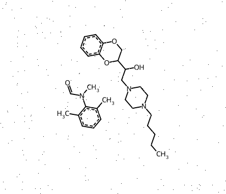 CCCCCN1CCN(CC(O)C2COc3ccccc3O2)CC1.Cc1cccc(C)c1N(C)C=O